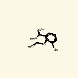 COCOc1c(C(OC)OC)cccc1C(C)(C)C